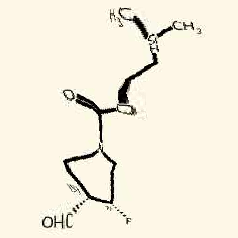 C[SiH](C)CCOC(=O)N1C[C@@H](C=O)[C@@H](F)C1